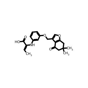 C/C=C(\Nc1cccc(OCc2coc3c2C(=O)CC(C)(C)C3)c1)C(=O)O